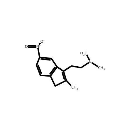 CC1=C(CCN(C)C)c2cc([N+](=O)[O-])ccc2C1